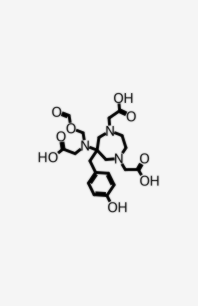 O=COCN(CC(=O)O)C1(Cc2ccc(O)cc2)CN(CC(=O)O)CCN(CC(=O)O)C1